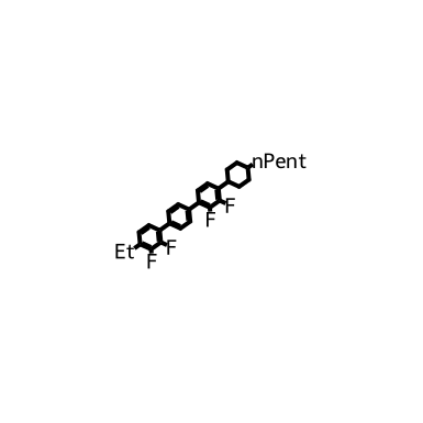 CCCCCC1CCC(c2ccc(-c3ccc(-c4ccc(CC)c(F)c4F)cc3)c(F)c2F)CC1